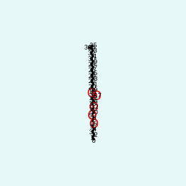 CCCCCCOCCOCCOCCCC(=O)OCCCCCCCCCCCCCCCC(C)C